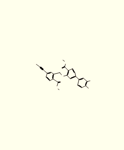 COC(=O)c1ccc(C#CS)cc1CNc1cc(-c2ccc(F)c(F)c2)ccc1C(=O)OC